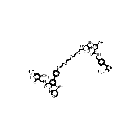 CCN(c1cc(-c2ccc(OCCOCCOCCOCC(=O)NC(C(=O)N3C[C@H](O)C[C@H]3C(=O)NCc3ccc(-c4scnc4C)cc3)C(C)(C)C)cc2)cc(C(=O)NCc2c(C)cc(C)[nH]c2=O)c1C)C1CCOCC1